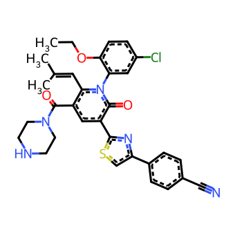 CCOc1ccc(Cl)cc1-n1c(C=C(C)C)c(C(=O)N2CCNCC2)cc(-c2nc(-c3ccc(C#N)cc3)cs2)c1=O